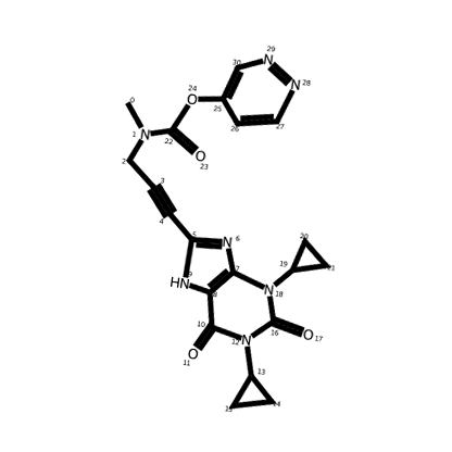 CN(CC#Cc1nc2c([nH]1)c(=O)n(C1CC1)c(=O)n2C1CC1)C(=O)Oc1ccnnc1